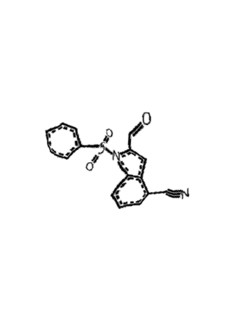 N#Cc1cccc2c1cc(C=O)n2S(=O)(=O)c1ccccc1